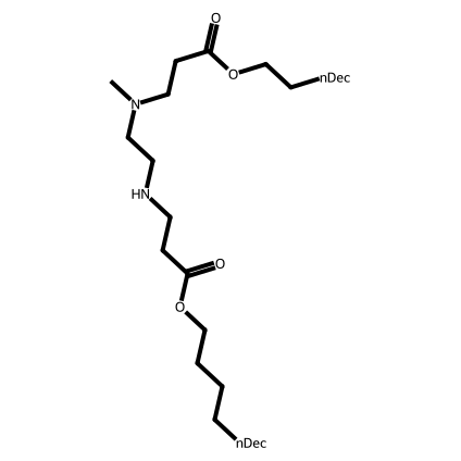 CCCCCCCCCCCCCCOC(=O)CCNCCN(C)CCC(=O)OCCCCCCCCCCCC